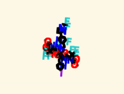 COC(=O)N[C@H](C(=O)N[C@@H](Cc1ccc(I)cc1)[C@@H](O)CN(Cc1c(F)cc(-c2ccn(CC(F)F)n2)cc1F)NC(=O)[C@@H](NC(=O)OC)C(C)(C)C(F)(F)F)C(C)(C)C(F)(F)F